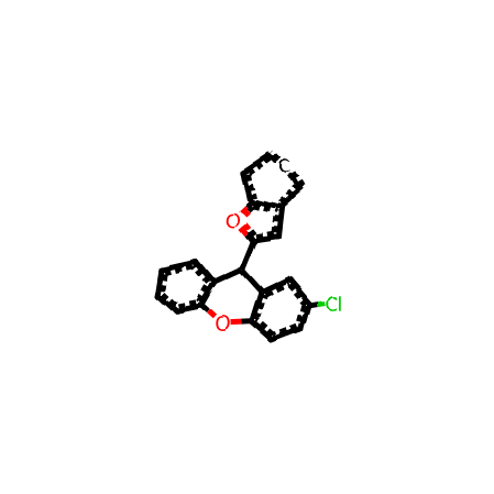 Clc1ccc2c(c1)C(c1cc3ccccc3o1)c1ccccc1O2